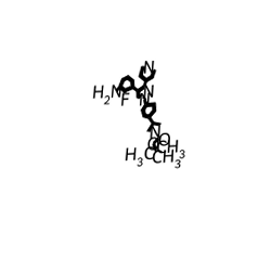 CC(C)(C)OC(=O)N1CC(c2ccc(-n3cc(-c4cccc(N)c4F)c(-c4ccncc4)n3)cc2)C1